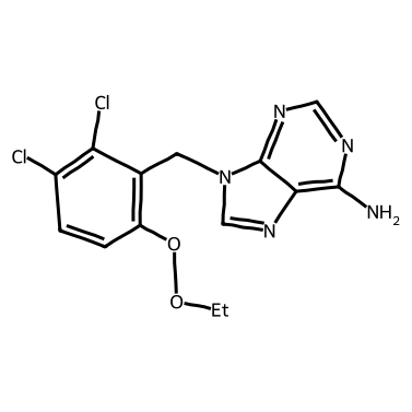 CCOOc1ccc(Cl)c(Cl)c1Cn1cnc2c(N)ncnc21